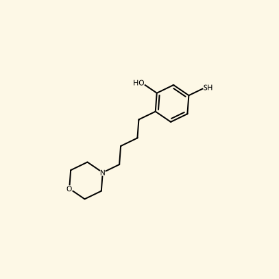 Oc1cc(S)ccc1CCCCN1CCOCC1